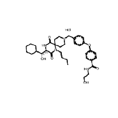 CCCCN1C(=O)[C@@H]([C@H](O)C2CCCCC2)NC(=O)C12CCN(Cc1ccc(Oc3ccc(C(=O)NCCO)cc3)cc1)CC2.Cl